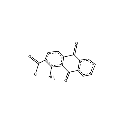 Nc1c(C(=O)Cl)ccc2c1C(=O)c1ccccc1C2=O